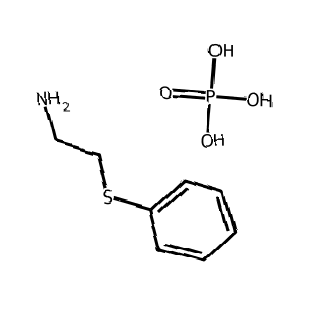 NCCSc1ccccc1.O=P(O)(O)O